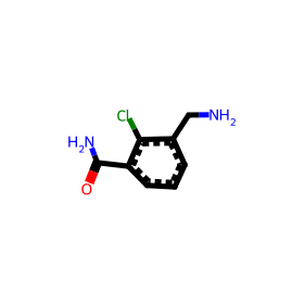 NCc1cccc(C(N)=O)c1Cl